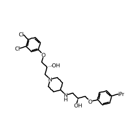 CC(C)c1ccc(OC[C@@H](O)CNC2CCN(C[C@@H](O)COc3ccc(Cl)c(Cl)c3)CC2)cc1